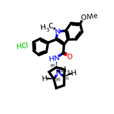 COc1ccc2c(C(=O)N[C@H]3C[C@H]4CC[C@@H](C3)N4C)c(-c3ccccc3)n(C)c2c1.Cl